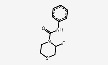 O=C(Nc1ccccc1)N1CCSCC1F